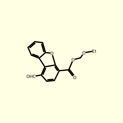 CCOCOC(=O)c1ccc(C=O)c2c1oc1ccccc12